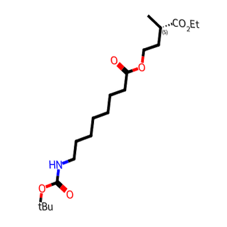 CCOC(=O)[C@@H](C)CCOC(=O)CCCCCCCNC(=O)OC(C)(C)C